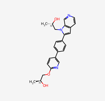 C[C@H](O)COc1ccc(-c2ccc(-c3cc4ccncc4n3C[C@H](C)O)cc2)cn1